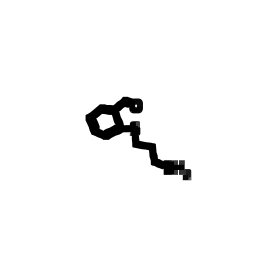 BCCCSc1ccccc1C=O